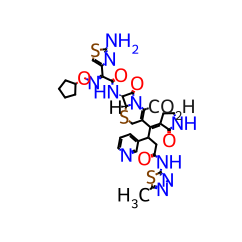 Cc1nnc(NC(=O)CC(C(=C2CCNC2=O)C2=C(C(=O)O)N3C(=O)[C@@H](NC(=O)C(=NOC4CCCC4)c4csc(N)n4)[C@H]3SC2)c2cccnc2)s1